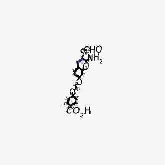 NC(=O)/C(=C\c1ccc(OCCOc2ccc(C(=O)O)cc2)cc1)SC=O